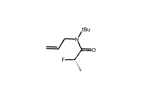 C=CCN(C(=O)[C@H](C)F)C(C)(C)C